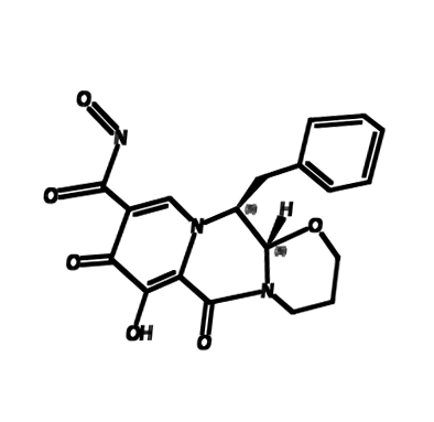 O=NC(=O)c1cn2c(c(O)c1=O)C(=O)N1CCCO[C@H]1[C@@H]2Cc1ccccc1